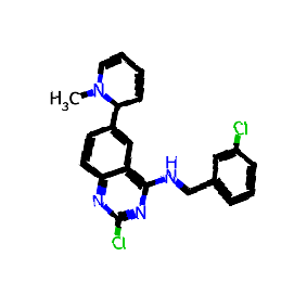 CN1C=CC=CC1c1ccc2nc(Cl)nc(NCc3cccc(Cl)c3)c2c1